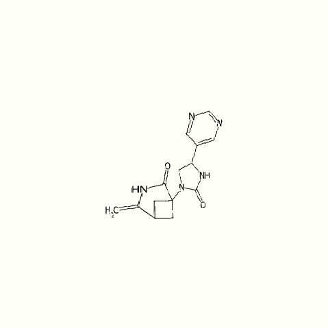 C=C1NC(=O)C2(N3CC(c4cncnc4)NC3=O)CC1C2